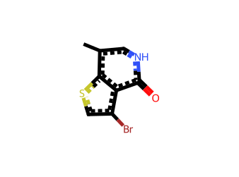 Cc1c[nH]c(=O)c2c(Br)csc12